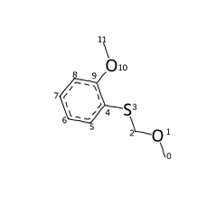 COCSc1ccccc1OC